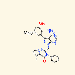 COc1cc(O)cc(-c2nn(Cc3nn4ccc(C)c4c(=O)n3-c3ccccc3)c3ncnc(N)c23)c1